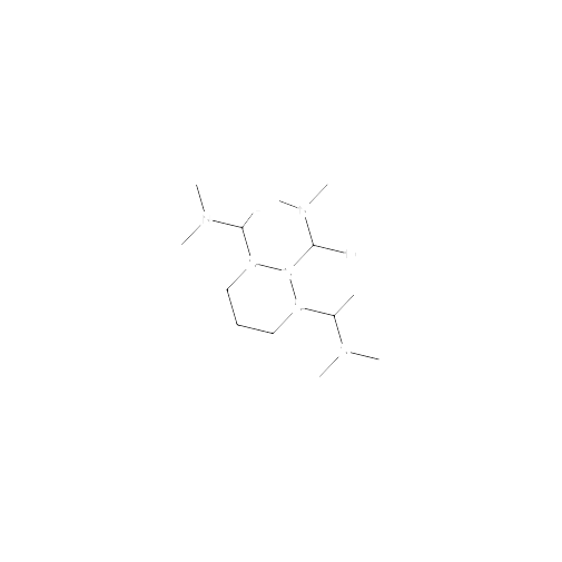 CCC(N(C)C)N1CCCN(C(CC)N(C)C)N1C(CC)N(C)C